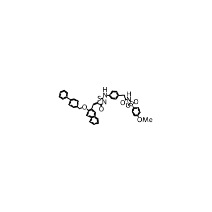 COc1ccc(S(=O)(=O)NC(=O)Cc2ccc(NC3=NC(=O)/C(=C\c4cc5ccccc5cc4OCc4ccc(-c5ccccc5)cc4)S3)cc2)cc1